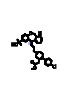 COC(=O)CC1CN(CC/C=C2\C3=CC=CNC3COc3ccc(C(C)(C)O)cc32)CCN1c1ccc(Cl)cc1